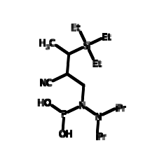 CC[Si](CC)(CC)C(C)C(C#N)CN(N(C(C)C)C(C)C)P(O)O